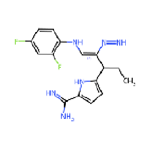 CCC(/C(=C/Nc1ccc(F)cc1F)N=N)c1ccc(C(=N)N)[nH]1